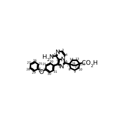 Nc1nccn2c(C34CCCC(C(=O)O)(CC3)CC4)nc(-c3ccc(Oc4ccccc4)cc3)c12